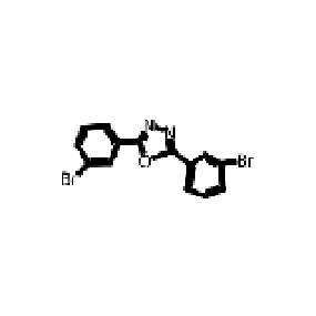 Brc1cccc(-c2nnc(-c3cccc(Br)c3)o2)c1